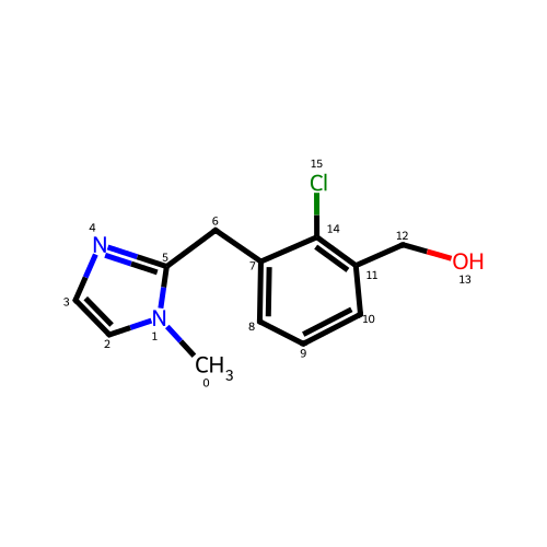 Cn1ccnc1Cc1cccc(CO)c1Cl